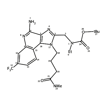 CCN(Cc1nc2c(N)nc3cc(C(F)(F)F)ccc3c2n1CCCC(=O)NC)C(=O)OC(C)(C)C